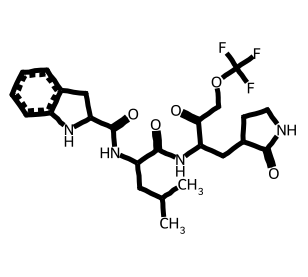 CC(C)CC(NC(=O)C1Cc2ccccc2N1)C(=O)NC(CC1CCNC1=O)C(=O)COC(F)(F)F